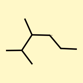 CC[CH]C(C)C(C)C